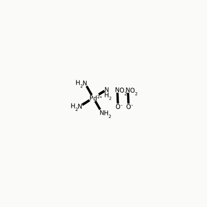 O=[N+]([O-])[O-].O=[N+]([O-])[O-].[NH2][Pd+2]([NH2])([NH2])[NH2]